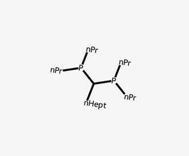 CCCCCCCC(P(CCC)CCC)P(CCC)CCC